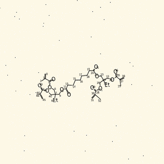 C=C(C)C(=O)OCC(CC)(COC(=O)CCCCCCCC(=O)OCC(CC)(COC(=O)C(=C)C)COC(=O)C(=C)C)COC(=O)C(=C)C